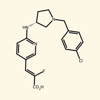 O=C(O)/C(F)=C/c1ccc(N[C@@H]2CCN(Cc3ccc(Cl)cc3)C2)nc1